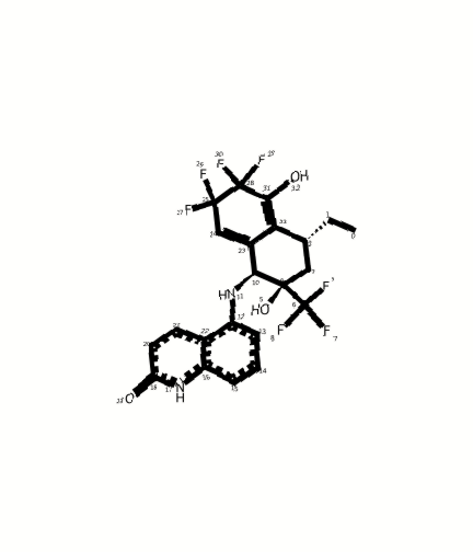 CC[C@@H]1C[C@](O)(C(F)(F)F)[C@@H](Nc2cccc3[nH]c(=O)ccc23)C2=CC(F)(F)C(F)(F)C(O)=C21